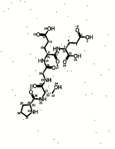 O=C(O)CC[C@H](NC(=O)[C@H](CCC(=O)O)NC(=O)CNC(=O)[C@H](CO)NC(=O)[C@@H]1CCCN1)C(=O)O